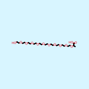 CC(OCCOCCOCCOCCOCCOCCOCCOCCOCCOCCO)C(=O)O